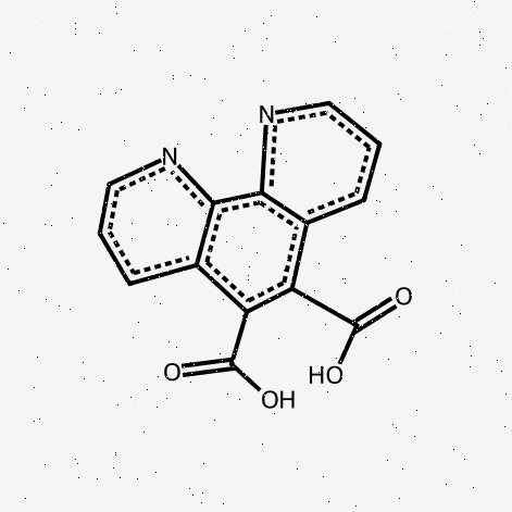 O=C(O)c1c(C(=O)O)c2cccnc2c2ncccc12